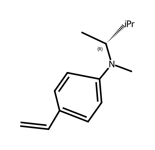 C=Cc1ccc(N(C)[C@H](C)C(C)C)cc1